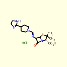 CC1(C)SC2C(N=CN3CCC(C4=NCCN4)CC3)C(=O)N2[C@H]1C(=O)O.Cl